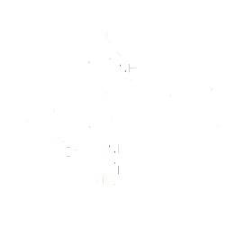 CCC(NC(C)C)C(OC(=O)C1CCCCC1)c1ccc(Oc2ccc(C)cc2)c2[nH]c(=O)ccc12.Cl